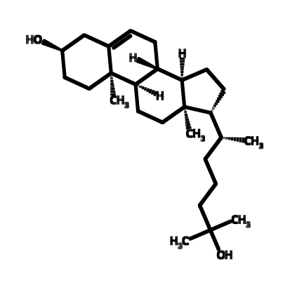 C[C@H](CCCC(C)(C)O)[C@H]1CC[C@@H]2[C@H]3CC=C4C[C@H](O)CC[C@]4(C)[C@@H]3CC[C@@]21C